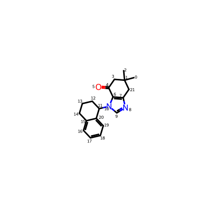 CC1(C)CC(=O)c2c(ncn2C2CCCc3ccccc32)C1